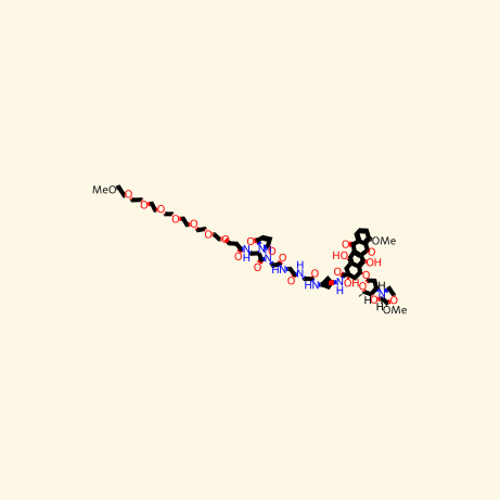 COCCOCCOCCOCCOCCOCCOCCOCCC(=O)NCC(C(=O)NCC(=O)NCC(=O)NCC(=O)NC12CC(NC(=O)[C@]3(O)Cc4c(O)c5c(c(O)c4[C@@H](O[C@H]4C[C@H]6[C@H](O[C@@H]7[C@@H](OC)OCCN76)[C@H](C)O4)C3)C(=O)c3c(OC)cccc3C5=O)(C1)C2)N1C(=O)C=CC1=O